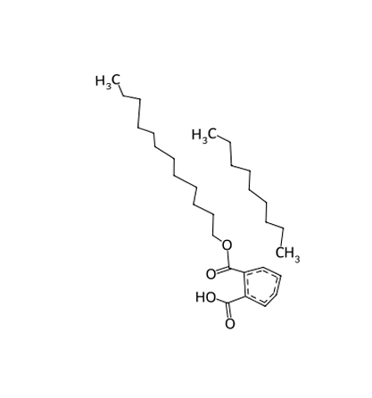 CCCCCCCCC.CCCCCCCCCCCCOC(=O)c1ccccc1C(=O)O